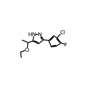 CCOC(C)c1cc(-c2ccc(F)c(Cl)c2)n[nH]1